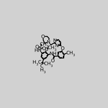 COc1c(NC(=O)c2ccc(C)c(Oc3ccnc(CN4CCOCC4)n3)c2)cc(C(C)(C)C)cc1NS(C)(=O)=O